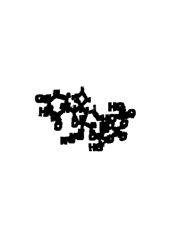 C=C[C@H]1[C@]2(CCS2)[C@H](n2ccc(=O)[nH]c2=O)O[C@@]1(COP(=O)(O)OP(=O)(O)OP(=O)(O)O)N=[N+]=[N-]